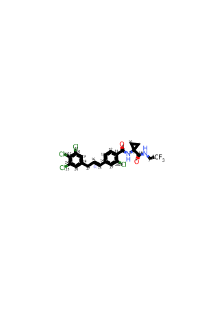 O=C(NC1(C(=O)NCC(F)(F)F)CC1)c1ccc(/C=C/Cc2cc(Cl)c(Cl)c(Cl)c2)cc1Cl